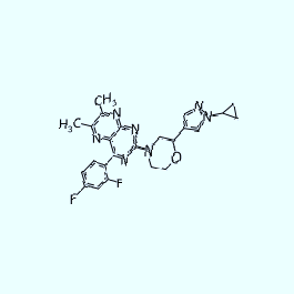 Cc1nc2nc(N3CCOC(c4cnn(C5CC5)c4)C3)nc(-c3ccc(F)cc3F)c2nc1C